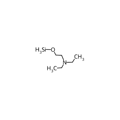 CCN(CC)CCO[SiH3]